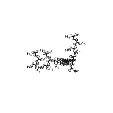 C=CC.C=CC.C=CC.CC(C)OC(=O)CCCCC(=O)OC(C)C.CC(O)COC(C)COC(C)CO.CC(O)COC(C)COC(C)CO.CC(O)COC(C)COC(C)CO.COC.COC.COC.COC